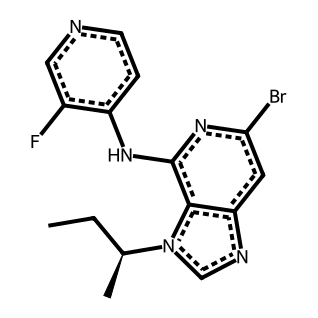 CC[C@H](C)n1cnc2cc(Br)nc(Nc3ccncc3F)c21